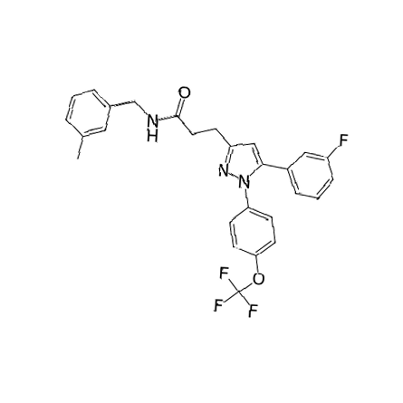 Cc1cccc(CNC(=O)CCc2cc(-c3cccc(F)c3)n(-c3ccc(OC(F)(F)F)cc3)n2)c1